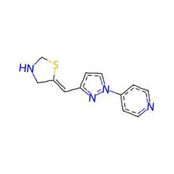 C(=C1\CNCS1)/c1ccn(-c2ccncc2)n1